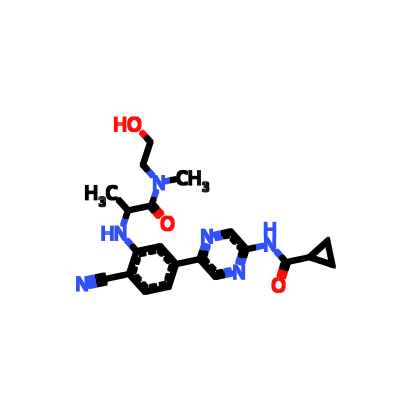 CC(Nc1cc(-c2cnc(NC(=O)C3CC3)cn2)ccc1C#N)C(=O)N(C)CCO